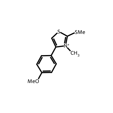 COc1ccc(-c2csc(SC)[n+]2C)cc1